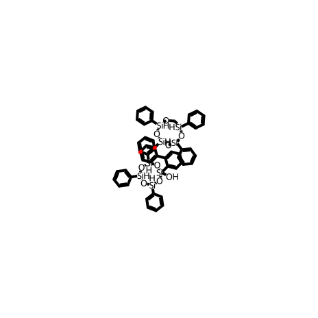 O[Si]1(c2ccccc2-c2ccccc2[SiH]2O[SiH](c3ccccc3)OC[SiH](c3ccccc3)O[SiH](c3ccccc3)O2)O[SiH](c2ccccc2)O[SiH](c2ccccc2)O[SiH](c2ccccc2)O1